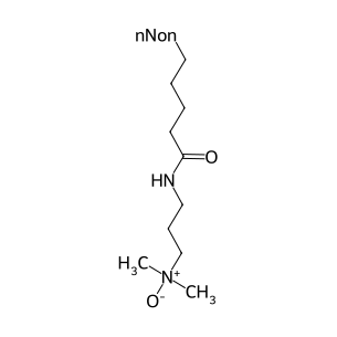 CCCCCCCCCCCCCC(=O)NCCC[N+](C)(C)[O-]